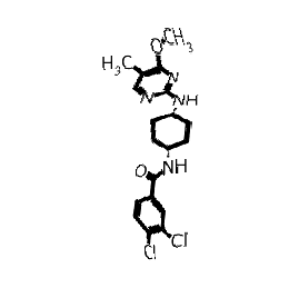 COc1nc(N[C@H]2CC[C@@H](NC(=O)c3ccc(Cl)c(Cl)c3)CC2)ncc1C